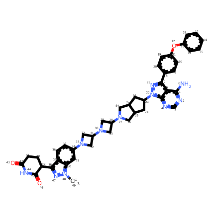 Nc1ncnc2c1c(-c1ccc(Oc3ccccc3)cc1)nn2C1CC2CN(C3CN(C4CN(c5ccc6c(C7CCC(=O)NC7=O)nn(C(F)(F)F)c6c5)C4)C3)CC2C1